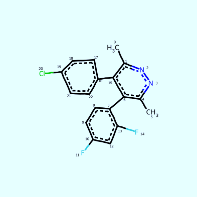 Cc1nnc(C)c(-c2ccc(F)cc2F)c1-c1ccc(Cl)cc1